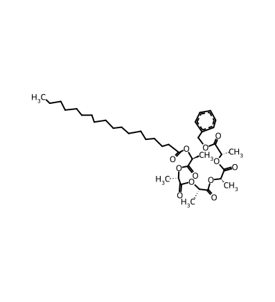 CCCCCCCCCCCCCCCCCC(=O)O[C@@H](C)C(=O)O[C@@H](C)C(=O)O[C@@H](C)C(=O)O[C@@H](C)C(=O)O[C@@H](C)C(=O)OCc1ccccc1